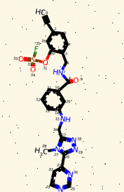 C#Cc1ccc(CNC(=O)c2cccc(NCc3nnc(-c4ccncn4)n3C)c2)c(OS(=O)(=O)F)c1